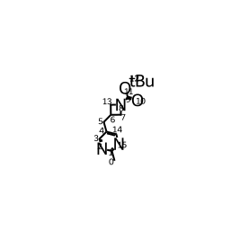 Cc1ncc(CC2CN(C(=O)OC(C)(C)C)C2)cn1